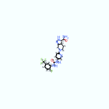 NC(=O)C1NN=C2CN(c3ccc(NC(=O)Nc4cc(C(F)(F)F)ccc4F)cn3)CCC21